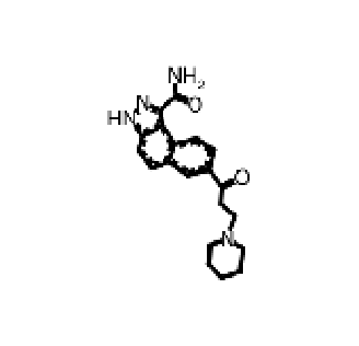 NC(=O)c1n[nH]c2ccc3cc(C(=O)CCN4CCCCC4)ccc3c12